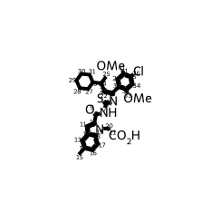 COc1cc(-c2nc(NC(=O)c3cc4cc(C)ccc4n3CC(=O)O)sc2C(C)C2CCCCC2)c(OC)cc1Cl